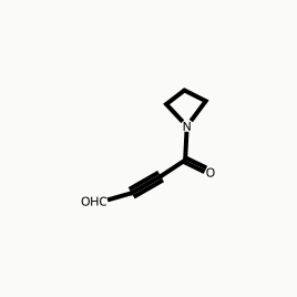 O=CC#CC(=O)N1CCC1